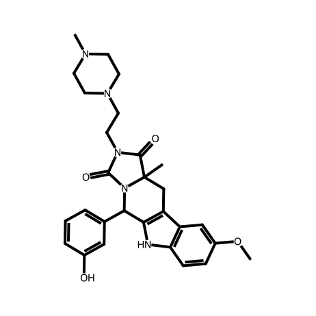 COc1ccc2[nH]c3c(c2c1)CC1(C)C(=O)N(CCN2CCN(C)CC2)C(=O)N1C3c1cccc(O)c1